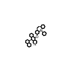 C1=Cc2ccc(Oc3c4ccccc4c(-c4cccc5ccccc45)c4cnccc34)cc2N(c2ccccc2)c2ccccc21